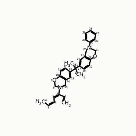 C=C/C(=C\C=C/C)N1COc2ccc(C(C)(C)c3ccc4c(c3)CN(c3ccccc3)CO4)cc2C1